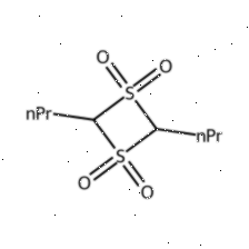 CCCC1S(=O)(=O)C(CCC)S1(=O)=O